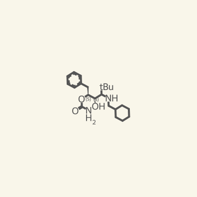 CC(C)(C)C(NCC1CCCCC1)[C@H](O)[C@H](Cc1ccccc1)OC(N)=O